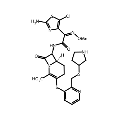 CO/N=C(\C(=O)N[C@@H]1C(=O)N2C(C(=O)O)=C(Sc3cccnc3CSC3CCNC3)CC[C@H]12)c1nc(N)sc1Cl